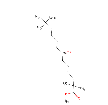 CCC(C)OC(=O)C(C)(C)CCCCC(=O)CCCCC(C)(C)C(=O)O